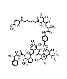 CC[C@H](C)[C@@H]([C@@H](CC(=O)N1CCCC1[C@H](OC)[C@@H](C)C(=O)N[C@H](C)[C@@H](O)c1ccccc1)OC)N(C)C(=O)[C@@H](NC(=O)[C@H](C(C)C)N(C)C(=O)OCc1ccc(NC(=O)[C@H](C)NC(=O)[C@@H](NC(=O)CCCCCNC(=O)/C=C\C(=O)OC)C(C)C)cc1)C(C)C